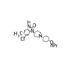 CCCO[C@H]1CC[C@H](N2CCC(n3c(=O)[nH]c4cc(C)c(Cl)cc43)CC2)CC1